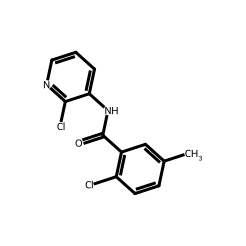 Cc1ccc(Cl)c(C(=O)Nc2cccnc2Cl)c1